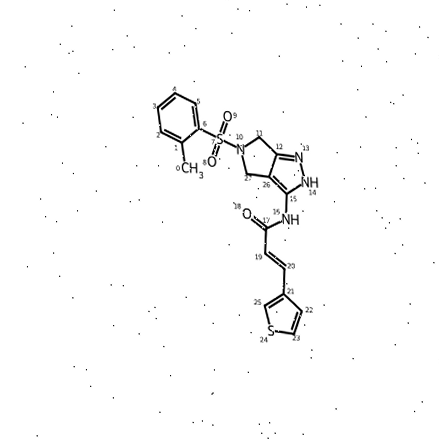 Cc1ccccc1S(=O)(=O)N1Cc2n[nH]c(NC(=O)/C=C/c3ccsc3)c2C1